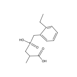 CCc1ccccc1CP(=O)(O)CC(C)C(=O)O